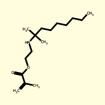 C=C(C)C(=O)OCCNC(C)(C)CCCCCCC